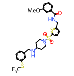 COc1cccc(C(=O)NCc2ccc(S(=O)(=O)N3CCC(NCc4cccc(SC(F)(F)F)c4)CC3)s2)c1